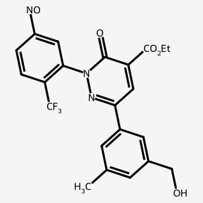 CCOC(=O)c1cc(-c2cc(C)cc(CO)c2)nn(-c2cc(N=O)ccc2C(F)(F)F)c1=O